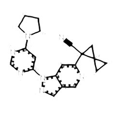 N#CC1(c2cc3c(cn2)cnn3-c2cc(N3CCCC3)ncn2)CC12CC2